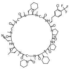 CC(C)C[C@H]1C(=O)N[C@@H](CC#N)C(=O)N(C)CC(=O)N(C)CC(=O)N(C)[C@@H](CC2CCCCC2)C(=O)N(C)CC(=O)N[C@@H](CCc2ccc(C(F)(F)F)c(Cl)c2)C(=O)N2CCC[C@H]2C(=O)NC2(CCCC2)C(=O)N(C)[C@@H](C2CCCCC2)C(=O)N(C)[C@H](C(=O)N2CCCCC2)CC(=O)N1C